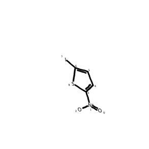 O=[N+]([O-])c1ccc(I)s1